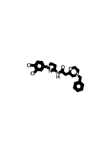 O=C(CC1CN(Cc2ccccc2)CCO1)NC1=NN(c2ccc(Cl)c(Cl)c2)CC1